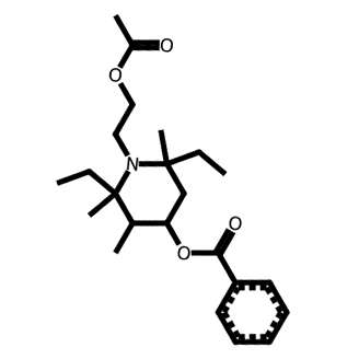 CCC1(C)CC(OC(=O)c2ccccc2)C(C)C(C)(CC)N1CCOC(C)=O